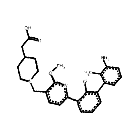 COc1nc(-c2cccc(-c3cccc(N)c3C)c2Cl)ccc1CN1CCC(CC(=O)O)CC1